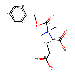 C[N+](C)(C(=O)OCc1ccccc1)[C@@H](CCC(=O)O)C(=O)[O-]